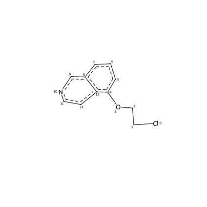 ClCCOc1cccc2cnccc12